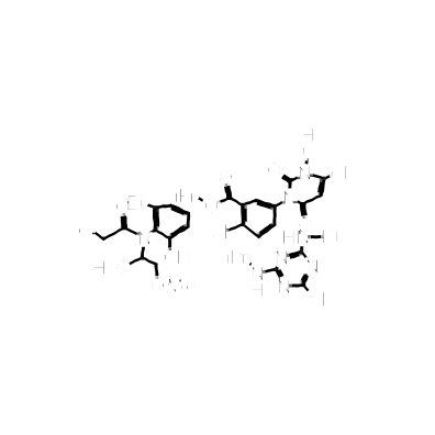 CC(C)OC(=O)c1cc(-n2c(=O)cc(C(F)(F)F)n(C)c2=O)ccc1Cl.CCNc1nc(Cl)nc(NC(C)C)n1.CCc1cccc(C)c1N(C(=O)CCl)C(C)COC